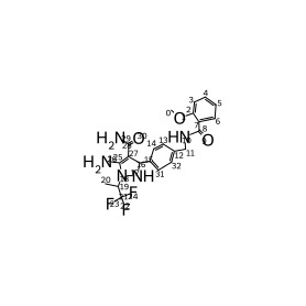 COc1ccccc1C(=O)NCc1ccc(C2NN(C(C)C(F)(F)F)C(N)=C2C(N)=O)cc1